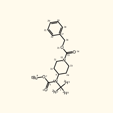 [2H]C([2H])([2H])N(C(=O)OC(C)(C)C)C1CCN(C(=O)OCc2ccccc2)CC1